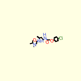 C=C(CCNC(=O)COc1ccc(Cl)cc1)NC(=O)CN(C)C(C)C